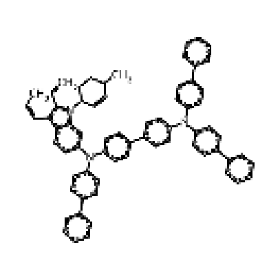 C=Cc1c(/C=C\C)c2ccc(N(c3ccc(-c4ccccc4)cc3)c3ccc(-c4ccc(N(c5ccc(-c6ccccc6)cc5)c5ccc(-c6ccccc6)cc5)cc4)cc3)cc2n1C1C=CC(C)CC1